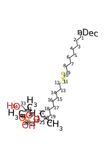 CCCCCCCCCCCCCCCCCCCSSCCCCCCCCC(C)(C)COCP(=O)(O)OC(C)(C)CO